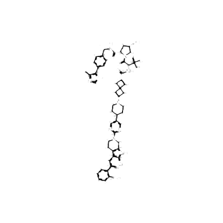 Cc1ncsc1-c1ccc([C@H](C)NC(=O)[C@@H]2C[C@@H](O)CN2C(=O)[C@@H](NC(=O)[C@H]2CC3(C2)C[C@H](N2CCC(c4cnc(N5CCc6c([nH]c7nnc(-c8ccccc8O)cc67)C5)nc4)CC2)C3)C(C)(C)C)cc1